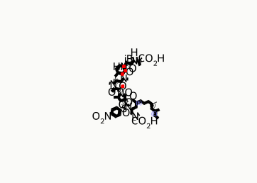 C/C=C(\C)C[C@@H](C)CC/C=C(\CC(CN(C)C(=O)O)N(C)S(=O)(=O)c1ccc([N+](=O)[O-])cc1)C(=O)O[C@@H]1CC(C)N([C@H](C)C(=O)N(C)[C@H](Cc2ccccc2)C(=O)N(C)CC(=O)N[C@H](C(=O)N[C@H](C)C(=O)O)C(C)CC)C1=O